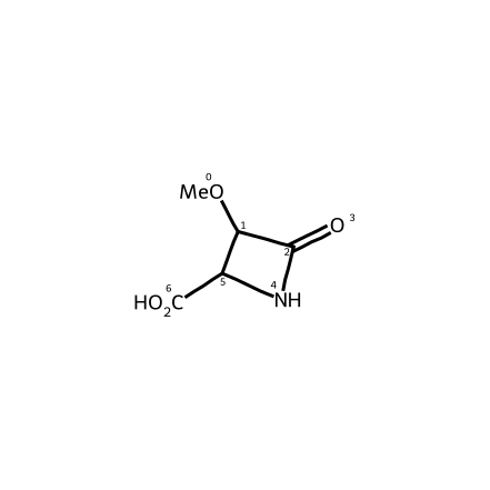 COC1C(=O)NC1C(=O)O